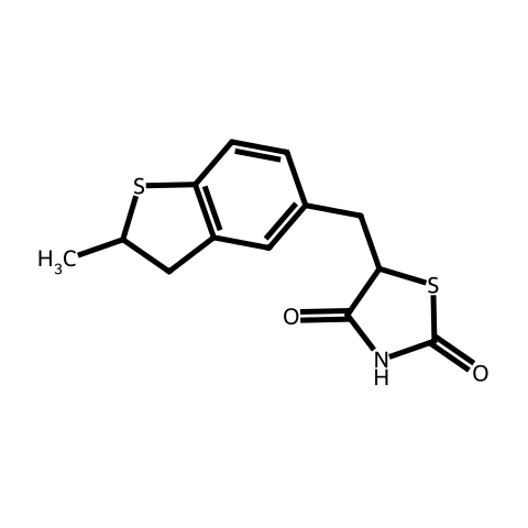 CC1Cc2cc(CC3SC(=O)NC3=O)ccc2S1